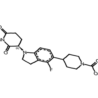 CC(C)(C)OC(=O)N1CCC(c2ccc3c(c2F)CCN3[C@@H]2CCC(=O)NC2=O)CC1